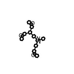 c1ccc(-c2nc(-c3ccc(-c4cc(-c5ccc6oc7ccccc7c6c5)cc(-c5ccc6oc7ccccc7c6c5)c4)cc3)cc(-c3ccc(-c4ccc5oc6ccccc6c5c4)cc3)n2)cc1